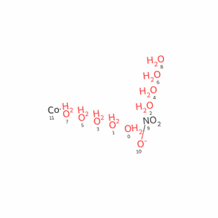 O.O.O.O.O.O.O.O.O.O=[N+]([O-])[O-].[Co]